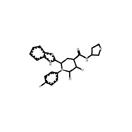 O=C(NC1CCOC1)C1CC(c2nc3ccccc3[nH]2)N(c2ccc(F)cc2)C(Cl)C1Cl